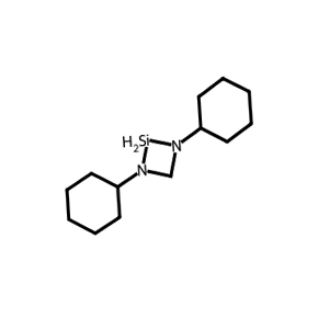 C1CCC(N2CN(C3CCCCC3)[SiH2]2)CC1